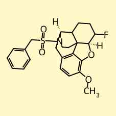 COc1ccc2c3c1O[C@@H]1C(F)CCC4[C@H](C2)N(S(=O)(=O)Cc2ccccc2)CCC341